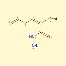 C=CCC=C(CCCCC)C(=O)NN